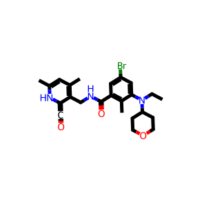 CCN(c1cc(Br)cc(C(=O)NCC2=C(C)C=C(C)NC2=C=O)c1C)C1CCOCC1